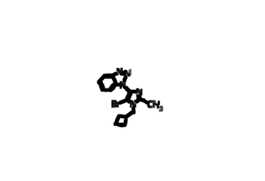 Cc1nc(-n2nnc3ccccc32)c(Br)n1CC1CCC1